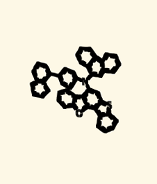 c1ccc2c(-c3ccc(N(c4cc5ccccc5c5ccccc45)c4cc5sc6ccccc6c5c5oc6ccccc6c45)cc3)cccc2c1